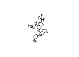 Cl.Cl.Oc1cc(C(F)(F)F)ccc1-c1nnc(N[C@@H]2CCC[C@H](O)C2)c2cnccc12